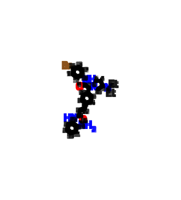 CCN(CC)C1CCN(C(C(=O)Nc2ccc(Br)cc2)c2ccc(C=CC(=O)Nc3ccccc3N)cc2)C1